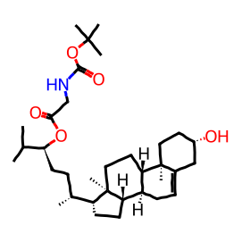 CC(C)[C@H](CC[C@@H](C)[C@H]1CC[C@H]2[C@@H]3CC=C4C[C@@H](O)CC[C@]4(C)[C@H]3CC[C@]12C)OC(=O)CNC(=O)OC(C)(C)C